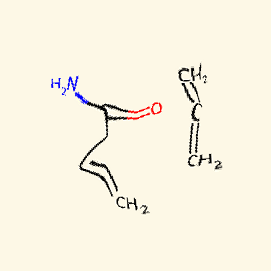 C=C=C.C=CC(N)=O